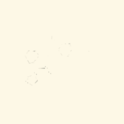 Cc1ccc(COc2ccccc2C(=NN(C)C)n2ccnc2)c(C)c1